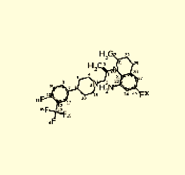 C=C(CN1CCC(c2ccc(F)c(C(F)(F)F)c2)CC1)N1c2c(N)cc(F)cc2CCC1C